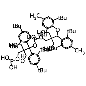 Cc1cc(C(C)(C)C)c(OC(c2c(C(C)(C)C)cc(C)cc2C(C)(C)C)C(CO)(CO)COP(O)OC(c2ccc(C(C)(C)C)cc2C(C)(C)C)(c2ccc(C(C)(C)C)cc2C(C)(C)C)C(CO)(CO)COP(O)O)c(C(C)(C)C)c1